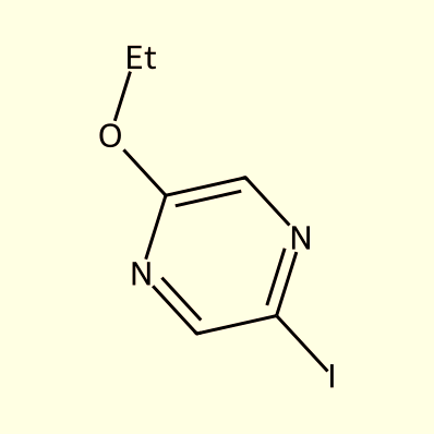 [CH2]COc1cnc(I)cn1